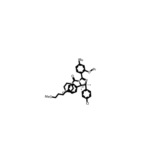 COCCCN1CCN(C(=O)N2C(c3ccc(C(C)(C)C)cc3OC(C)C)=N[C@@](C)(c3ccc(Cl)cc3)[C@@]2(C)c2ccc(Cl)cc2)CC1